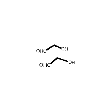 O=CCO.O=CCO